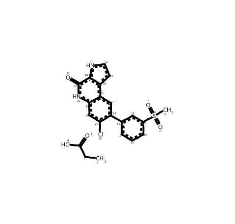 CCC(=O)O.CS(=O)(=O)c1cccc(-c2cc3c(cc2Cl)[nH]c(=O)c2[nH]ccc23)c1